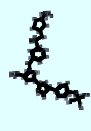 Cc1cc(-c2nc(-c3ccc(OC(F)(F)F)cc3)no2)nn1Cc1ccnc(NCC2CCN(C)C2)c1